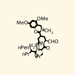 C=CCC(C[C@@H](C=O)NC(=O)[C@H](CC(C)C)NC(=O)C(CCC)CCCCC)C(=O)N(C)Cc1ccc(OC)cc1OC